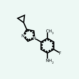 Cc1cc(F)c(N)cc1-n1cnc(C2CC2)c1